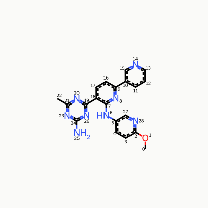 COc1ccc(Nc2nc(-c3cccnc3)ccc2-c2nc(C)nc(N)n2)cn1